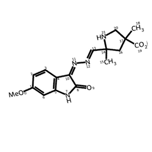 COc1ccc2c(c1)NC(=O)C2=NN=CC1(C)CC(C)(C(=O)O)CN1